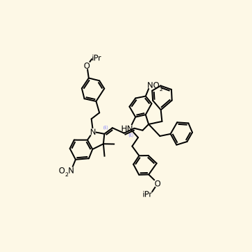 CC(C)Oc1ccc(CCNc2ccc([N+](=O)[O-])cc2C(C/C=C/C=C2/N(CCc3ccc(OC(C)C)cc3)c3ccc([N+](=O)[O-])cc3C2(C)C)(Cc2ccccc2)Cc2ccccc2)cc1